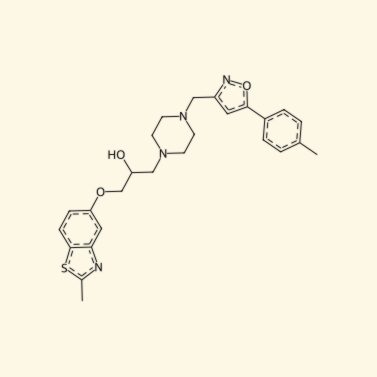 Cc1ccc(-c2cc(CN3CCN(CC(O)COc4ccc5sc(C)nc5c4)CC3)no2)cc1